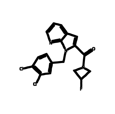 O=C(c1cc2cccnc2n1Cc1ccc(Cl)c(Cl)c1)N1CC(F)C1